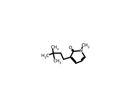 Cn1cccc(CCC(C)(C)C)c1=O